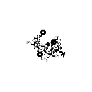 CC(C)C[C@@H](C(=O)O[C@H](C)C(=O)N(C)[C@@H](CC(C)(C)F)C(=O)O[C@H](Cc1ccc(C(F)(F)F)cc1)C(=O)N(C)[C@@H](CC(C)C)C(=O)O[C@H](C)C(=O)OCc1ccccc1)N(C)C(=O)[C@@H](Cc1ccc(C(F)(F)F)cc1)OC(=O)[C@H](CCC(C)(C)F)N(C)C(=O)OC(C)(C)C